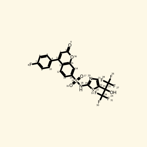 O=c1cc(-c2ccc(F)cc2)c2ccc(S(=O)(=O)Nc3ncc(C(O)(C(F)(F)F)C(F)(F)F)s3)cc2o1